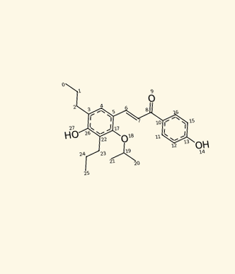 CCCc1cc(C=CC(=O)c2ccc(O)cc2)c(OC(C)C)c(CCC)c1O